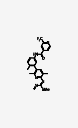 C=N/C(=N\c1nc(C)c(-c2cc(NC(=O)c3ccnc(C(F)(F)F)c3)ccc2C)cc1C)SC